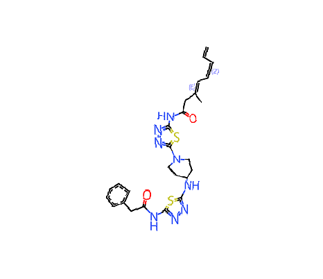 C=C/C=C\C=C(/C)CC(=O)Nc1nnc(N2CCC(Nc3nnc(NC(=O)Cc4ccccc4)s3)CC2)s1